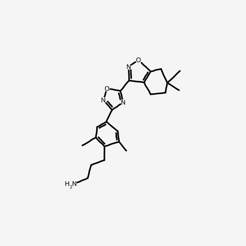 Cc1cc(-c2noc(-c3noc4c3CCC(C)(C)C4)n2)cc(C)c1CCCN